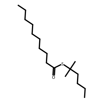 CCCCCCCCCC(=O)SC(C)(C)CCCC